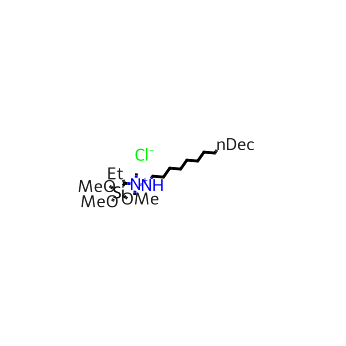 CCCCCCCCCCCCCCCCCCN[N+](C)(C)C(CC)[Si](OC)(OC)OC.[Cl-]